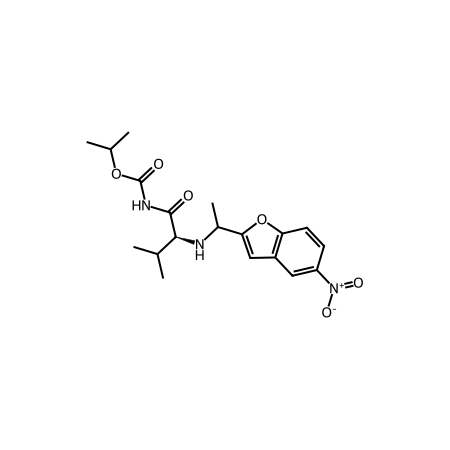 CC(C)OC(=O)NC(=O)[C@@H](NC(C)c1cc2cc([N+](=O)[O-])ccc2o1)C(C)C